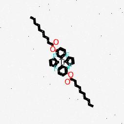 CCCCCCCCCC(=O)Oc1ccc(F)[c]([Ti]([C]2=CC=CC2)([C]2=CC=CC2)[c]2c(F)ccc(OC(=O)CCCCCCCCC)c2F)c1F